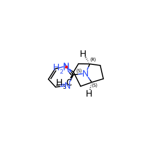 C[C@@]1(N)C[C@H]2CC[C@@H](C1)N2c1ncccn1